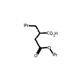 CC(C)CC(CC(=O)OC(C)C)C(=O)O